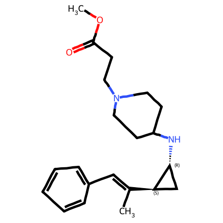 COC(=O)CCN1CCC(N[C@@H]2C[C@H]2C(C)=Cc2ccccc2)CC1